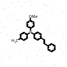 COc1ccc(N(c2ccc(C)cc2)c2ccc(C=Cc3ccccc3)cc2)cc1